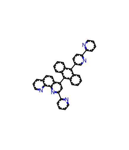 c1ccc(-c2ccc(-c3c4ccccc4c(-c4cc(-c5ccccn5)nc5c4ccc4cccnc45)c4ccccc34)cn2)nc1